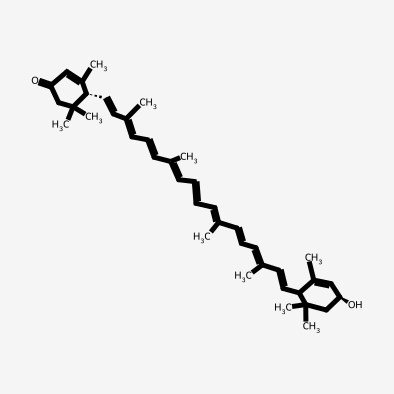 CC1=C[C@@H](O)CC(C)(C)C1/C=C/C(C)=C/C=C/C(C)=C/C=C/C=C(C)/C=C/C=C(C)/C=C/[C@H]1C(C)=CC(=O)CC1(C)C